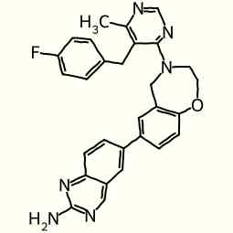 Cc1ncnc(N2CCOc3ccc(-c4ccc5nc(N)ncc5c4)cc3C2)c1Cc1ccc(F)cc1